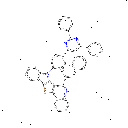 c1ccc(-c2cc(-c3ccc(-n4c5ccccc5c5sc6c7ccccc7nc(-c7ccc8ccccc8c7)c6c54)cc3)nc(-c3ccccc3)n2)cc1